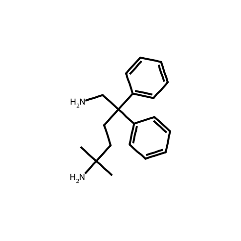 CC(C)(N)CCC(CN)(c1ccccc1)c1ccccc1